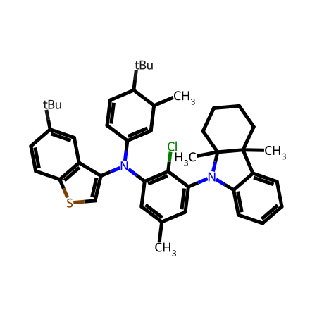 Cc1cc(N(C2=CC(C)C(C(C)(C)C)C=C2)c2csc3ccc(C(C)(C)C)cc23)c(Cl)c(N2c3ccccc3C3(C)CCCCC23C)c1